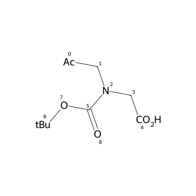 CC(=O)CN(CC(=O)O)C(=O)OC(C)(C)C